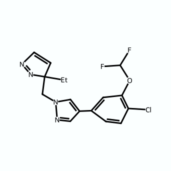 CCC1(Cn2cc(-c3ccc(Cl)c(OC(F)F)c3)cn2)C=CN=N1